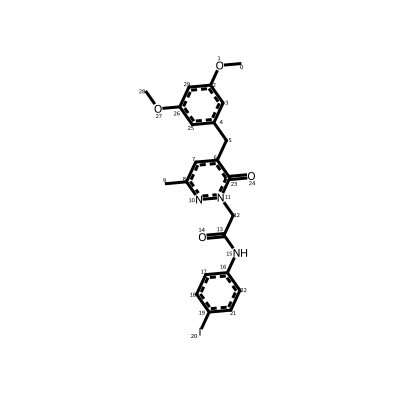 COc1cc(Cc2cc(C)nn(CC(=O)Nc3ccc(I)cc3)c2=O)cc(OC)c1